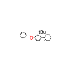 CC(C)(C)C1CCC[CH]C1c1ccc(OCc2ccccc2)cc1